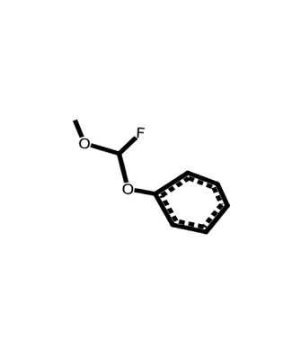 COC(F)Oc1ccccc1